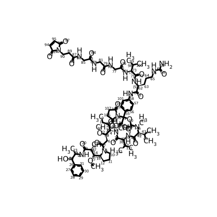 CC[C@H](C)[C@@H]([C@@H](CC(=O)N1CCC[C@H]1[C@H](OC)[C@@H](C)C(=O)N[C@H](C)[C@@H](O)c1ccccc1)OC)N(C)C(=O)[C@@H](NC(=O)[C@H](C(C)C)N(C)C(=O)OC(C(=O)O)(c1ccc(NC(=O)[C@H](CCCNC(N)=O)NC(=O)[C@@H](NC(=O)CNC(=O)CNC(=O)CNC(=O)CCN2C(=O)C=CC2=O)C(C)C)cc1)N1C(=O)CCC1=O)C(C)C